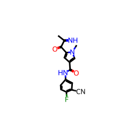 CC(=N)C(=O)c1cc(C(=O)Nc2ccc(F)c(C#N)c2)cn1C